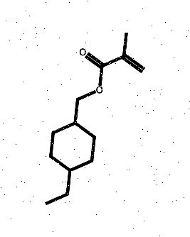 C=C(C)C(=O)OCC1CCC(CC)CC1